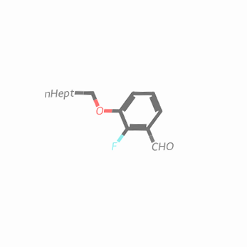 CCCCCCCCOc1cccc(C=O)c1F